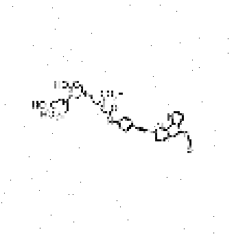 O=C(O)CN(CCN(CC(=O)O)CC(=O)O)CCN(CC(=O)O)CC(=O)Nc1ccc(C#Cc2ccc3cc(N=C=S)c4cccnc4c3n2)cc1